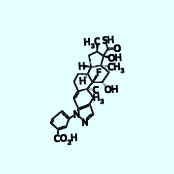 C[C@@H]1C[C@H]2[C@@H]3CCC4=Cc5c(cnn5-c5cccc(C(=O)O)c5)C[C@]4(C)[C@@]3(F)[C@@H](O)C[C@]2(C)[C@@]1(O)C(=O)S